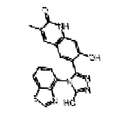 Cc1cc2cc(-c3nnc(O)n3-c3cccc4scnc34)c(O)cc2[nH]c1=O